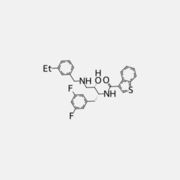 CCc1cccc(CNC[C@H](O)[C@@H](Cc2cc(F)cc(F)c2)NC(=O)c2csc3ccccc23)c1